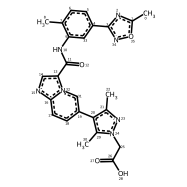 Cc1nc(-c2ccc(C)c(NC(=O)c3cnc4ccc(-c5c(C)nn(CC(=O)O)c5C)cn34)c2)no1